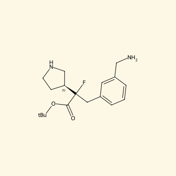 CC(C)(C)OC(=O)C(F)(Cc1cccc(CN)c1)[C@H]1CCNC1